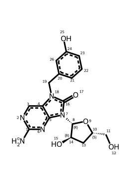 Nc1ncc2c(n1)n([C@@H]1O[C@H](CO)C[C@H]1O)c(=O)n2Cc1cccc(O)c1